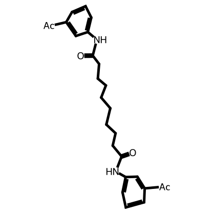 CC(=O)c1cccc(NC(=O)CCCCCCCCC(=O)Nc2cccc(C(C)=O)c2)c1